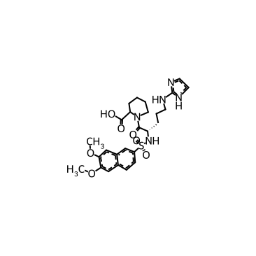 COc1cc2ccc(S(=O)(=O)N[C@@H](CCCNc3ncc[nH]3)C(=O)N3CCCCC3C(=O)O)cc2cc1OC